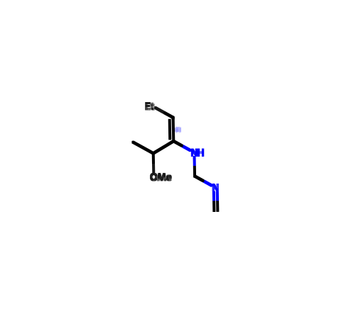 C=NCN/C(=C/CC)C(C)OC